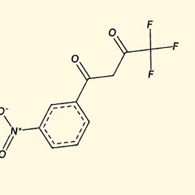 O=C(CC(=O)C(F)(F)F)c1cccc([N+](=O)[O-])c1